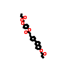 C=CC(=O)COc1ccc2cc(-c3ccc(CCC(=O)Oc4ccc(OCOC(=O)C=C)cc4)cc3)ccc2c1